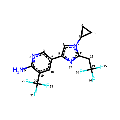 Nc1ncc(-c2cn(C3CC3)c(CC(F)(F)F)n2)cc1C(F)(F)F